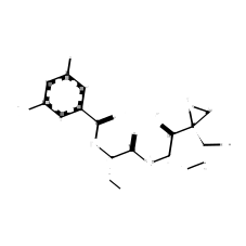 Cc1cc(C)cc(C(=O)N[C@@H](CO)C(=O)N[C@@H](CC(C)C)C(=O)[C@@]2(CO)CO2)c1